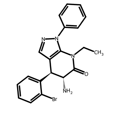 CCN1C(=O)[C@H](N)[C@@H](c2ccccc2Br)c2cnn(-c3ccccc3)c21